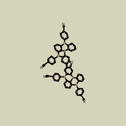 N#Cc1ccc(N2c3ccccc3B3c4cc5oc6cc7c(cc6c5cc4N(c4ccc(C#N)cc4)c4cccc2c43)N(c2ccc(C#N)cc2)c2cccc3c2B7c2ccccc2N3c2ccc(C#N)cc2)cc1